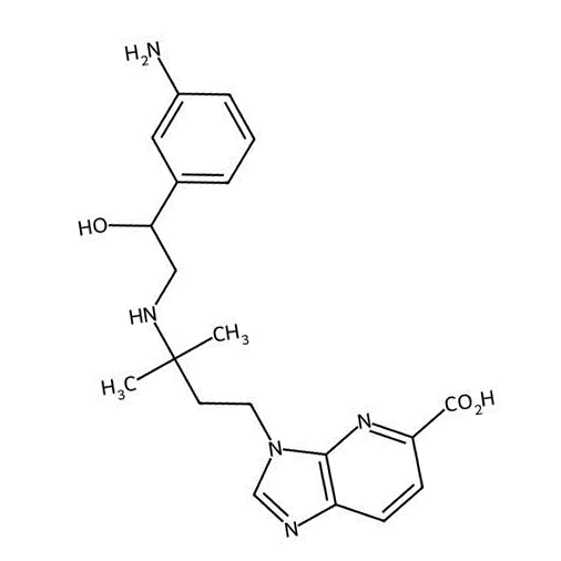 CC(C)(CCn1cnc2ccc(C(=O)O)nc21)NCC(O)c1cccc(N)c1